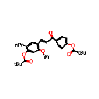 CCCc1cc(/C=C/C(=O)c2ccc(OC(=O)C(C)(C)C)cc2)c(OC(C)C)cc1OC(=O)C(C)(C)C